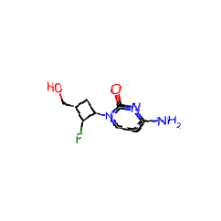 Nc1ccn([C@@H]2C[C@H](CO)C2F)c(=O)n1